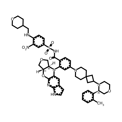 Cc1ccccc1[C@@H]1COCCN1C1CC2(CCN(c3ccc(C(=O)NS(=O)(=O)c4ccc(NCC5CCOCC5)c([N+](=O)[O-])c4)c(N4c5cc6cc[nH]c6nc5O[C@@H]5COC[C@H]54)c3)CC2)C1